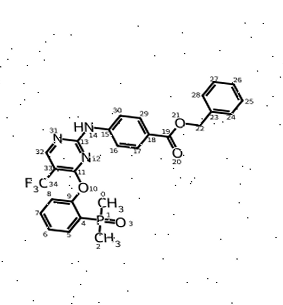 CP(C)(=O)c1ccccc1Oc1nc(Nc2ccc(C(=O)OCc3ccccc3)cc2)ncc1C(F)(F)F